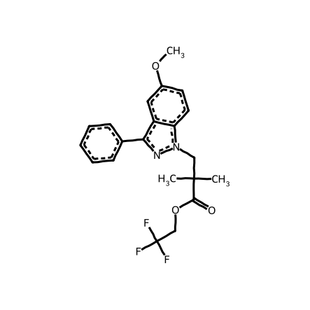 COc1ccc2c(c1)c(-c1ccccc1)nn2CC(C)(C)C(=O)OCC(F)(F)F